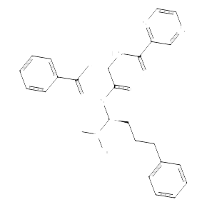 O=C(C[C@H](NC(=O)c1cnccn1)C(=O)N[C@@H](CCCc1ccccc1)B(O)O)c1ccccc1